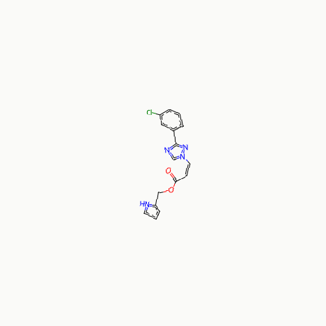 O=C(/C=C\n1cnc(-c2cccc(Cl)c2)n1)OCc1ccc[nH]1